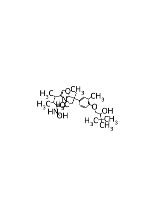 CCC(CC)(c1ccc(OCC(O)C(C)(C)C)c(C)c1)c1nc(C(C)C(C)C(=O)NO)co1